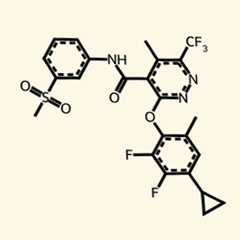 Cc1cc(C2CC2)c(F)c(F)c1Oc1nnc(C(F)(F)F)c(C)c1C(=O)Nc1cccc(S(C)(=O)=O)c1